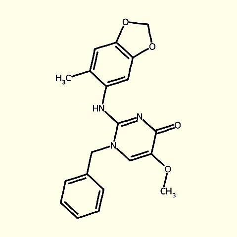 COc1cn(Cc2ccccc2)c(Nc2cc3c(cc2C)OCO3)nc1=O